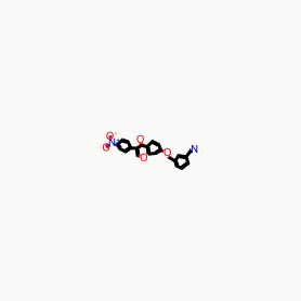 N#Cc1cccc(COc2ccc3c(=O)c(-c4ccc([N+](=O)[O-])cc4)coc3c2)c1